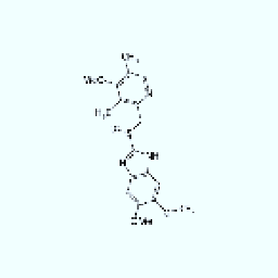 COc1cc2nc([S+]([O-])Cc3ncc(C)c(OC)c3C)[nH]c2cc1OC(F)(F)F